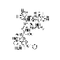 CC[C@H](C)[C@H](NC(=O)[C@@H](CCCNC(=N)N)NC(=O)[C@H](CC(C)(C)C)NC(=O)[C@@H](NC(=O)[C@@H](NC(=O)OCc1ccccc1)[C@H](N)c1ccccc1)[C@H](O)C(C)C)C(=O)N[C@H](C(=O)NCC(=O)N[C@@H](CO)C(=O)N[C@@H](CO)C(=O)O)[C@H](C)O